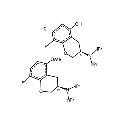 CCCN(C(C)C)[C@H]1COc2c(F)ccc(O)c2C1.CCCN(C(C)C)[C@H]1COc2c(F)ccc(OC)c2C1.Cl